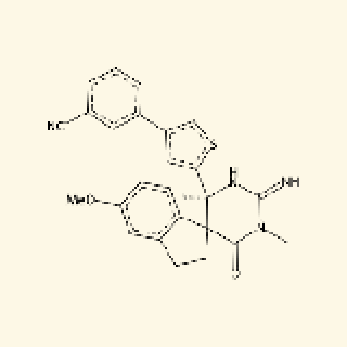 COc1ccc2c(c1)CCC21C(=O)N(C)C(=N)N[C@]1(C)c1cc(-c2cccc(C#N)c2)cs1